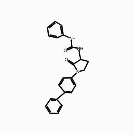 O=C(Nc1ccccc1)NC1CCN(c2ccc(-c3ccccc3)cc2)C1=O